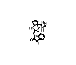 O=C(CN1C(=O)C(F)(F)c2ccccc21)NC1SC=CC1(Br)c1nnc[nH]1